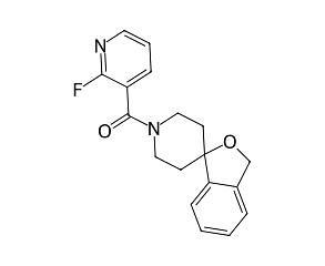 O=C(c1cccnc1F)N1CCC2(CC1)OCc1ccccc12